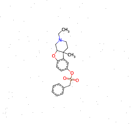 CCN1CCC2(C)c3cc(OS(=O)(=O)Cc4ccccc4)ccc3OC2C1